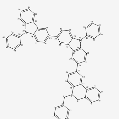 c1ccc(CC2Cc3ccccc3-c3cc(-c4ccc5c(c4)c4cc(-c6ccc7c(c6)c6ccccc6n7-c6ccccc6)ccc4n5-c4ccccc4)ccc32)cc1